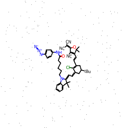 CC1(C)OC(=C(C#N)C#N)C(C#N)=C1C=CC1=C(Cl)C(=CC=C2N(CCCCCC(=O)Nc3ccc(N=[N+]=[N-])cc3)c3ccccc3C2(C)C)CC(C(C)(C)C)C1